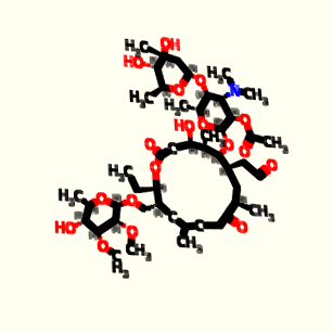 CC[C@H]1OC(=O)C[C@@H](O)[C@H](C)[C@@H](O[C@@H]2O[C@H](C)[C@@H](O[C@H]3C[C@@](C)(O)[C@@H](O)[C@H](C)O3)[C@H](N(C)C)[C@H]2OC(C)=O)[C@@H](CC=O)C[C@@H](C)C(=O)CCC(C)C[C@@H]1CO[C@@H]1O[C@H](C)[C@@H](O)[C@@H](OC)[C@H]1OC